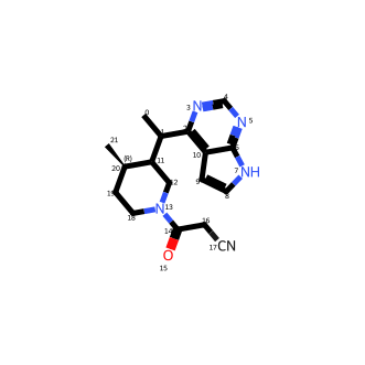 CC(c1ncnc2[nH]ccc12)C1CN(C(=O)CC#N)CC[C@H]1C